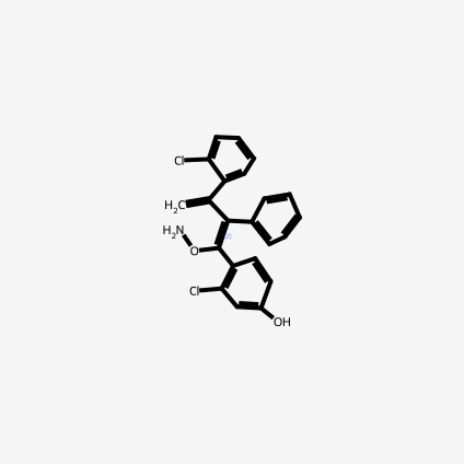 C=C(/C(=C(\ON)c1ccc(O)cc1Cl)c1ccccc1)c1ccccc1Cl